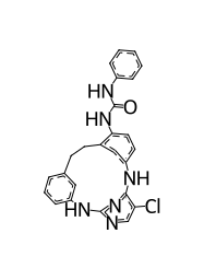 O=C(Nc1ccccc1)Nc1ccc2cc1CCc1cccc(c1)Nc1ncc(Cl)c(n1)N2